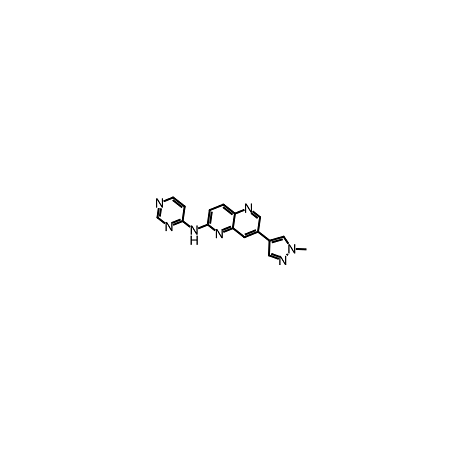 Cn1cc(-c2cnc3ccc(Nc4ccncn4)nc3c2)cn1